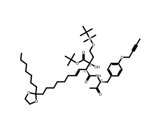 CC#CCOc1ccc(C[C@H](NC(=O)[C@@H](/C=C/CCCCCCC2(CCCCCCC)OCCO2)[C@@](O)(CCO[Si](C)(C)C(C)(C)C)C(=O)OC(C)(C)C)C(C)=O)cc1